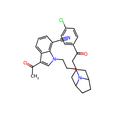 CC(=O)c1cn(CCCN2C3CCC2CC(CC(=O)c2ccc(Cl)cc2)C3)c2c(C#N)cccc12